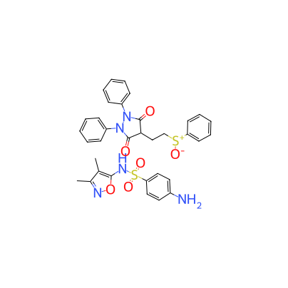 Cc1noc(NS(=O)(=O)c2ccc(N)cc2)c1C.O=C1C(CC[S+]([O-])c2ccccc2)C(=O)N(c2ccccc2)N1c1ccccc1